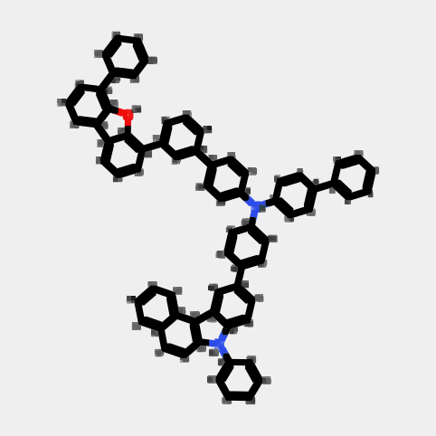 c1ccc(-c2ccc(N(c3ccc(-c4cccc(-c5cccc6c5oc5c(-c7ccccc7)cccc56)c4)cc3)c3ccc(-c4ccc5c(c4)c4c6ccccc6ccc4n5-c4ccccc4)cc3)cc2)cc1